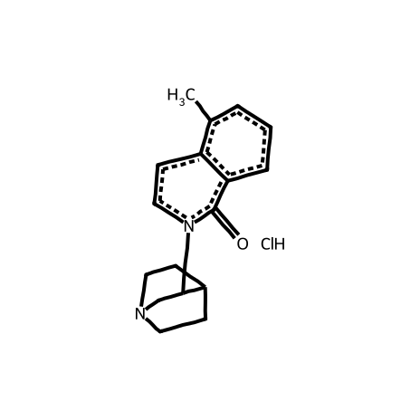 Cc1cccc2c(=O)n(C3CN4CCC3CC4)ccc12.Cl